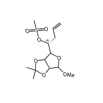 C=CC[C@@H](OS(C)(=O)=O)C1OC(OC)C2OC(C)(C)OC21